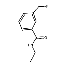 CCNC(=O)c1cccc(CF)c1